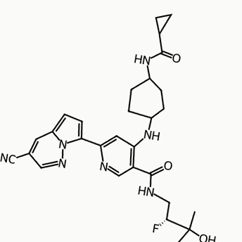 CC(C)(O)[C@H](F)CNC(=O)c1cnc(-c2ccc3cc(C#N)cnn23)cc1NC1CCC(NC(=O)C2CC2)CC1